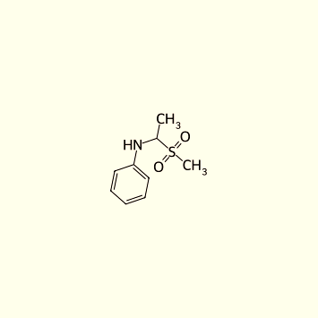 CC(Nc1ccccc1)S(C)(=O)=O